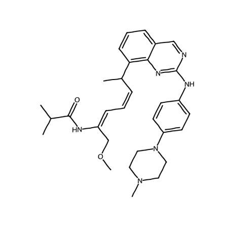 COC/C(=C\C=C/C(C)c1cccc2cnc(Nc3ccc(N4CCN(C)CC4)cc3)nc12)NC(=O)C(C)C